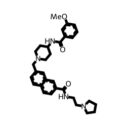 COc1cccc(C(=O)NC2CCN(Cc3ccc4ccc(C(=O)NCCN5CCCC5)cc4c3)CC2)c1